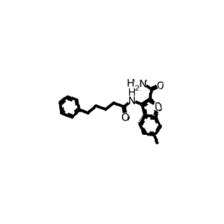 Cc1ccc2c(NC(=O)CCCCc3ccccc3)c(C(N)=O)oc2c1